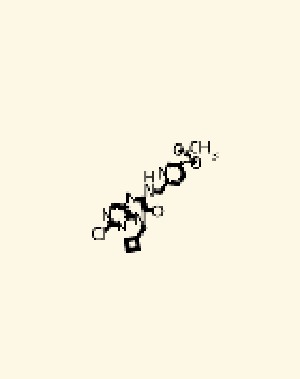 CS(=O)(=O)c1ccc(CNc2nc3cnc(Cl)nc3n(CC3CCC3)c2=O)nc1